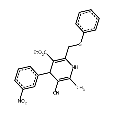 CCOC(=O)C1=C(CSc2ccccc2)NC(C)=C(C#N)C1c1cccc([N+](=O)[O-])c1